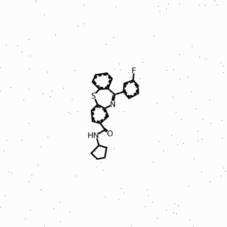 O=C(NC1CCCC1)c1ccc2c(c1)N=C(c1cccc(F)c1)c1ccccc1S2